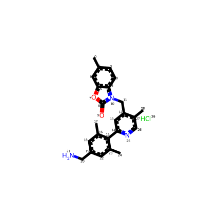 Cc1ccc2c(c1)oc(=O)n2Cc1cc(-c2c(C)cc(CN)cc2C)ncc1C.Cl